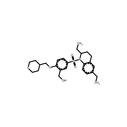 CCc1ccc2c(c1)CCC(CC)N2S(=O)(=O)c1ccc(OCC2CCSCC2)c(CO)c1